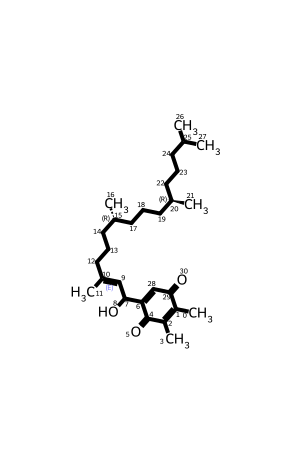 CC1=C(C)C(=O)C(C(O)/C=C(\C)CCC[C@H](C)CCC[C@H](C)CCCC(C)C)=CC1=O